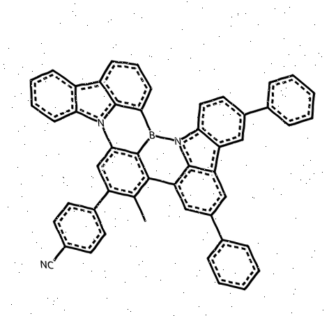 Cc1c(-c2ccc(C#N)cc2)cc2c3c1-c1cc(-c4ccccc4)cc4c5cc(-c6ccccc6)ccc5n(c14)B3c1cccc3c4ccccc4n-2c13